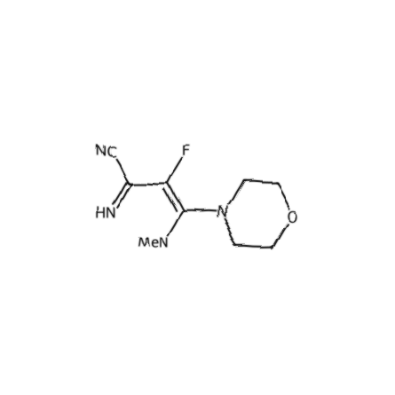 CN/C(=C(/F)C(=N)C#N)N1CCOCC1